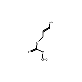 CCCC=CCOC(=O)O[C]=O